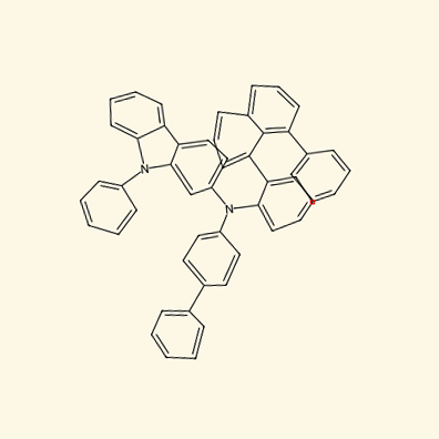 c1ccc(-c2ccc(N(c3ccc4c5ccccc5n(-c5ccccc5)c4c3)c3ccccc3-c3cccc4cccc(-c5ccccc5)c34)cc2)cc1